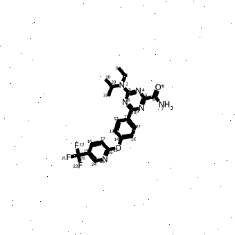 CCN(c1nc(C(N)=O)nc(-c2ccc(Oc3ccc(C(F)(F)F)cn3)cc2)n1)C(C)C